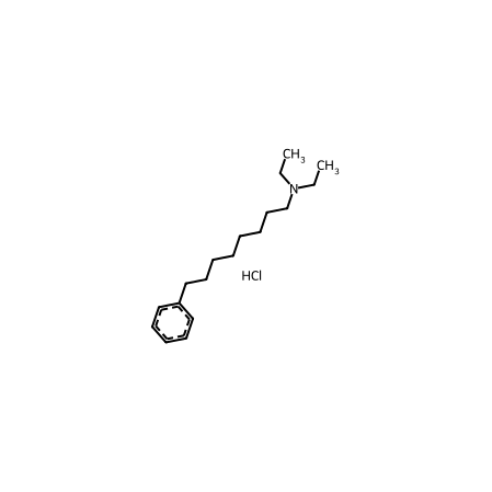 CCN(CC)CCCCCCCCc1ccccc1.Cl